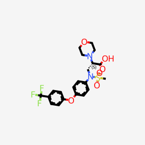 CS(=O)(=O)N(C[C@@H](C(=O)O)N1CCOCC1)c1ccc(Oc2ccc(C(F)(F)F)cc2)cc1